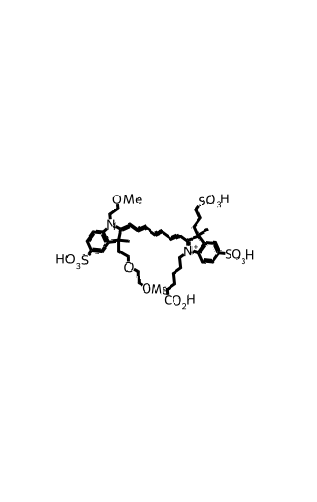 COCCOCCC1(C)\C(=C/C=C/C=C/C=C/C2=[N+](CCCCCC(=O)O)c3ccc(S(=O)(=O)O)cc3C2(C)CCCS(=O)(=O)O)N(CCOC)c2ccc(S(=O)(=O)O)cc21